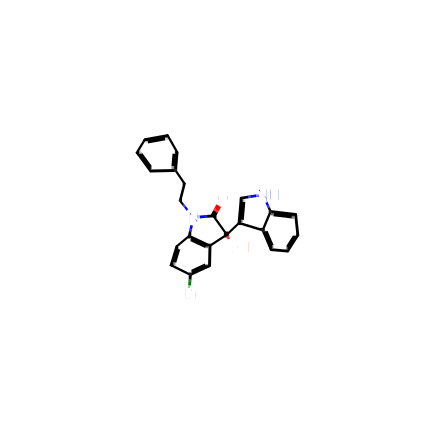 O=C1N(CCc2ccccc2)c2ccc(Br)cc2C1(O)c1c[nH]c2ccccc12